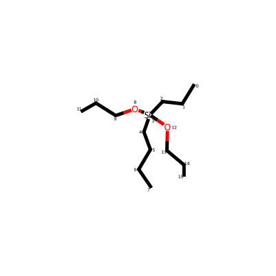 [CH2]CC[Si](CCCC)(OCCC)OCCC